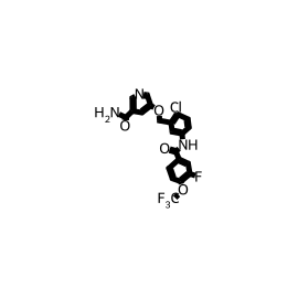 NC(=O)c1cncc(OCc2cc(NC(=O)c3ccc(OC(F)(F)F)c(F)c3)ccc2Cl)c1